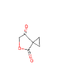 O=C1COC(=O)C12CC2